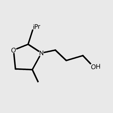 CC(C)C1OCC(C)N1CCCO